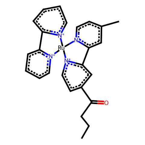 CCCC(=O)c1cc[n+]2c(c1)-c1cc(C)cc[n+]1[Ru]21[n+]2ccccc2-c2cccc[n+]21